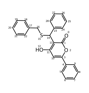 O=c1oc(-c2ccccc2)cc(O)c1C(SCc1ccccc1)c1ccccc1